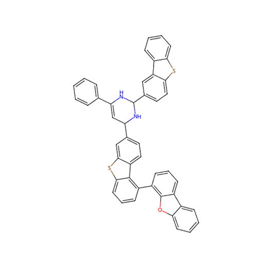 C1=C(c2ccccc2)NC(c2ccc3sc4ccccc4c3c2)NC1c1ccc2c(c1)sc1cccc(-c3cccc4c3oc3ccccc34)c12